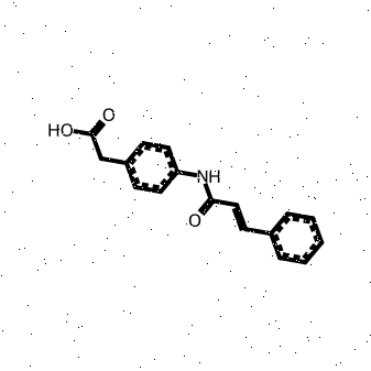 O=C(O)Cc1ccc(NC(=O)/C=C/c2ccccc2)cc1